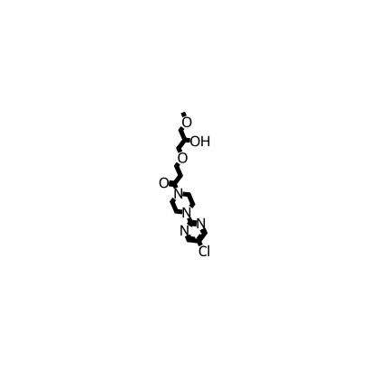 COCC(O)COCCC(=O)N1CCN(c2ncc(Cl)cn2)CC1